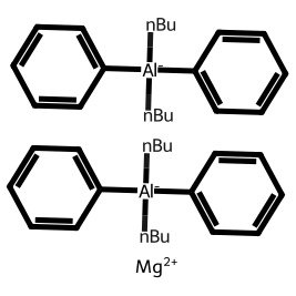 CCC[CH2][Al-]([CH2]CCC)([c]1ccccc1)[c]1ccccc1.CCC[CH2][Al-]([CH2]CCC)([c]1ccccc1)[c]1ccccc1.[Mg+2]